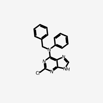 Clc1nc(N(Cc2ccccc2)c2ccccc2)c2nc[nH]c2n1